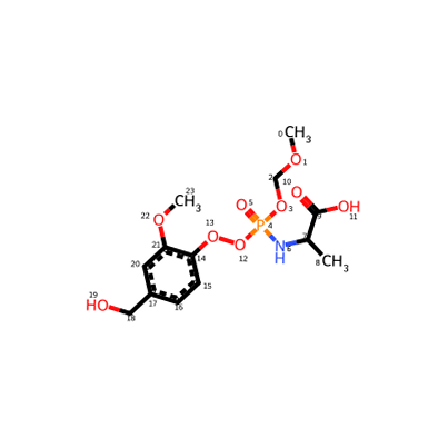 COCOP(=O)(NC(C)C(=O)O)OOc1ccc(CO)cc1OC